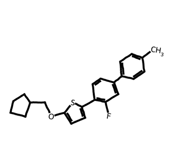 Cc1ccc(-c2ccc(-c3ccc(OCC4CCCC4)s3)c(F)c2)cc1